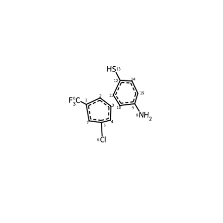 FC(F)(F)c1cccc(Cl)c1.Nc1ccc(S)cc1